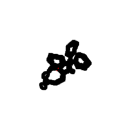 CN(C1CCOC(=O)CC1)[Si](c1ccccc1)(c1ccccc1)c1ccccc1